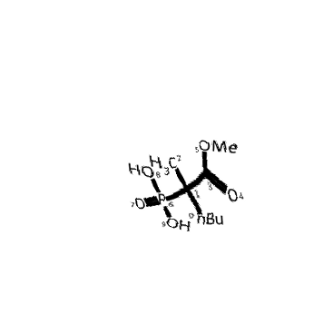 CCCCC(C)(C(=O)OC)P(=O)(O)O